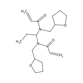 C=CC(=O)N(CC1CCCO1)C(CC)N(CC1CCCO1)C(=O)C=C